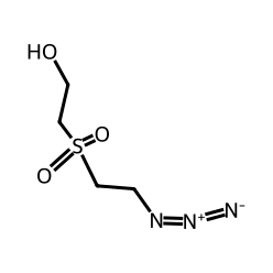 [N-]=[N+]=NCCS(=O)(=O)CCO